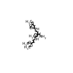 COC(CCPCCC(CN)(CCPCCC(OC)OC)OC)OC